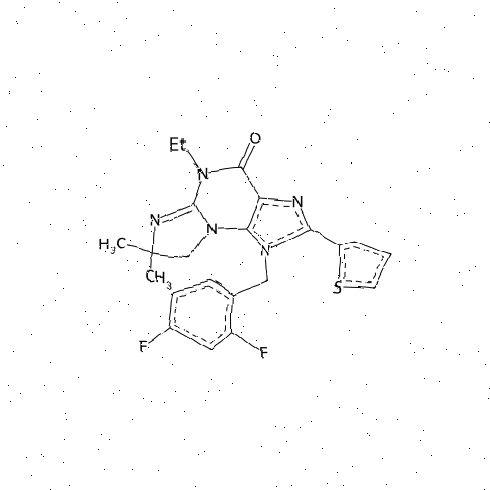 CCN1C(=O)c2nc(-c3cccs3)n(Cc3ccc(F)cc3F)c2N2CC(C)(C)N=C12